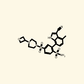 Cc1ccc(-c2cc(S(=O)(=O)N3CCN(C4COC4)CC3)ccc2S(N)(=O)=O)c2[nH]cc(C#N)c12